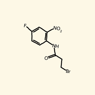 O=C(CCBr)Nc1ccc(F)cc1[N+](=O)[O-]